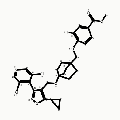 COC(=O)c1ccc(OCC23CCC(OCc4c(-c5c(Cl)cncc5Cl)noc4C4CC4)(CC2)CC3)c(F)c1